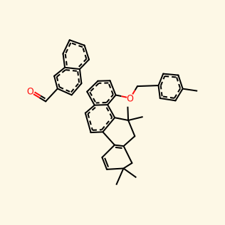 Cc1ccc(COc2cccc3ccc4c(c23)C(C)(C)CC2=C4C=CC(C)(C)C2)cc1.O=Cc1ccc2ccccc2c1